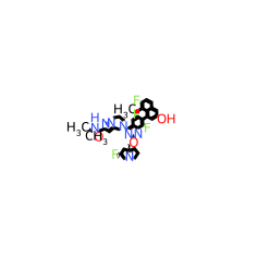 CCc1c(F)ccc2cc(O)cc(-c3c(F)cc4c(N5CCCn6nc(C(=O)NC(C)C)cc6C5)nc(OC[C@@]56CCCN5C[C@H](F)C6)nc4c3F)c12